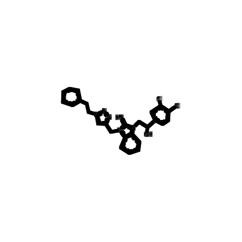 N=c1n(Cc2cn(CCc3ccccc3)nn2)c2ccccc2n1CC(O)c1ccc(Cl)c(Cl)c1